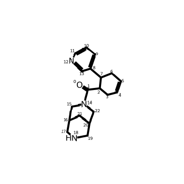 O=C(C1CC=CCC1c1cccnc1)N1CC2CNCC(C2)C1